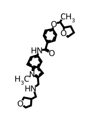 CC(Oc1ccc(C(=O)Nc2ccc3c(c2)cc(CNCC2CCOC2)n3C)cc1)C1CCCO1